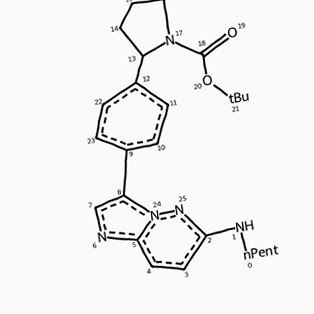 CCCCCNc1ccc2ncc(-c3ccc(C4CCCN4C(=O)OC(C)(C)C)cc3)n2n1